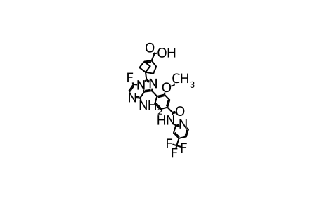 CCOc1cc(C(=O)Nc2cc(C(F)(F)F)ccn2)ccc1-c1nc(C23CCC(C(=O)O)=C(C2)C3)n2c(F)cnc(N)c12